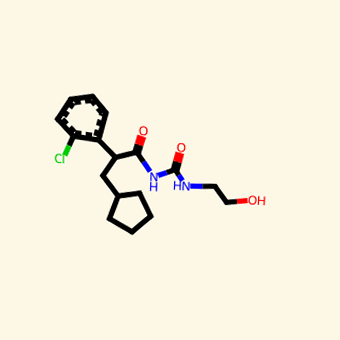 O=C(NCCO)NC(=O)C(CC1CCCC1)c1ccccc1Cl